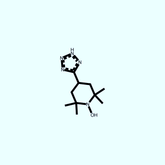 CC1(C)CC(c2nn[nH]n2)CC(C)(C)N1O